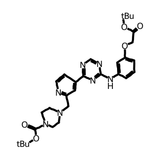 CC(C)(C)OC(=O)COc1cccc(Nc2ncnc(-c3ccnc(CN4CCN(C(=O)OC(C)(C)C)CC4)c3)n2)c1